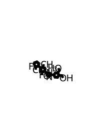 Cc1cc(-c2nc(-c3ccc(CO)c(CO)c3)no2)c(F)cc1-c1cccc(F)c1C(F)(F)F